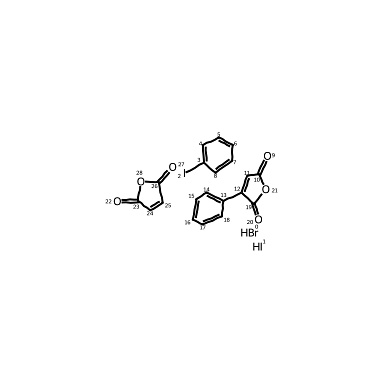 Br.I.Ic1ccccc1.O=C1C=C(c2ccccc2)C(=O)O1.O=C1C=CC(=O)O1